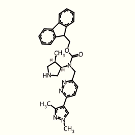 Cc1nn(C)cc1-c1ccc(CN(C(=O)OCC2c3ccccc3-c3ccccc32)[C@H]2CNC[C@H]2C)nn1